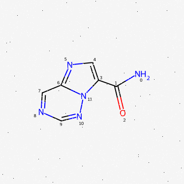 NC(=O)c1cnc2cncnn12